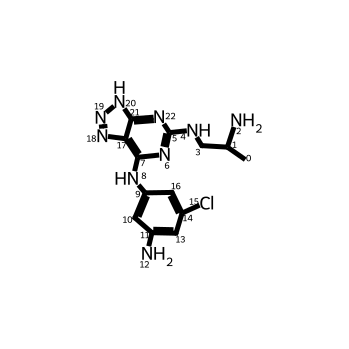 CC(N)CNc1nc(Nc2cc(N)cc(Cl)c2)c2nn[nH]c2n1